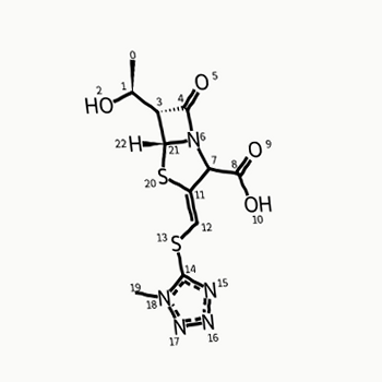 C[C@H](O)[C@@H]1C(=O)N2C(C(=O)O)C(=CSc3nnnn3C)S[C@H]12